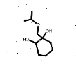 CC(C)OCC1(O)CCCCC1O